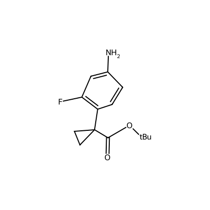 CC(C)(C)OC(=O)C1(c2ccc(N)cc2F)CC1